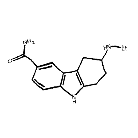 CCNC1CCc2[nH]c3ccc(C(N)=O)cc3c2C1